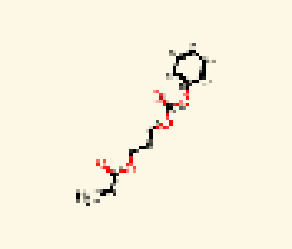 C=CC(=O)OCCCOC(=O)Oc1ccccc1